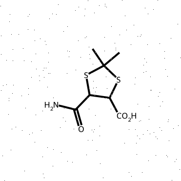 CC1(C)SC(C(N)=O)C(C(=O)O)S1